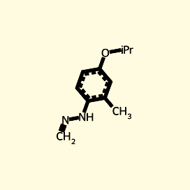 C=NNc1ccc(OC(C)C)cc1C